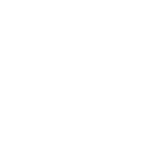 CC(C)c1ccc(CCCCCCOc2ccc(C(=O)O)cc2)c(O)c1O